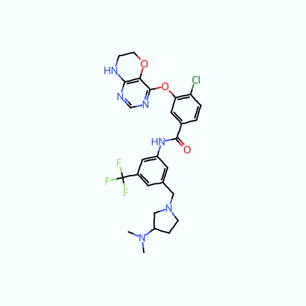 CN(C)C1CCN(Cc2cc(NC(=O)c3ccc(Cl)c(Oc4ncnc5c4OCCN5)c3)cc(C(F)(F)F)c2)C1